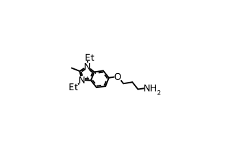 CCn1c(C)[n+](CC)c2ccc(OCCCN)cc21